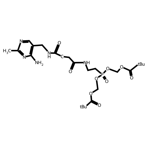 Cc1ncc(CNC(=O)CCC(=O)NCCP(=O)(OCOC(=O)C(C)(C)C)OCOC(=O)C(C)(C)C)c(N)n1